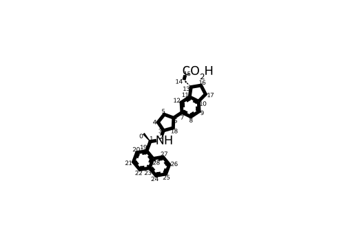 C[C@@H](NC1CCC(c2ccc3c(c2)[C@H](CC(=O)O)CC3)C1)c1cccc2ccccc12